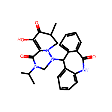 CC1CN2C(=C(O)C1=O)C(=O)N(C(C)C)CN2C1c2ccccc2NC(=O)c2ccccc21